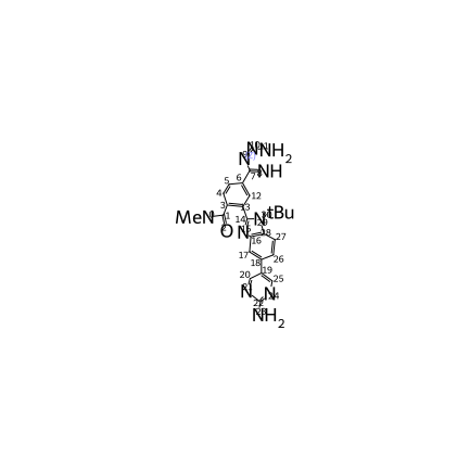 CNC(=O)c1ccc(C(=N)/N=N\N)cc1-c1nc2cc(-c3cnc(N)nc3)ccc2n1C(C)(C)C